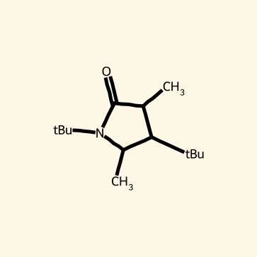 CC1C(=O)N(C(C)(C)C)C(C)C1C(C)(C)C